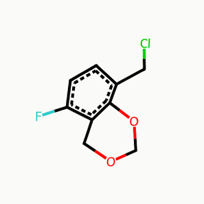 Fc1ccc(CCl)c2c1COCO2